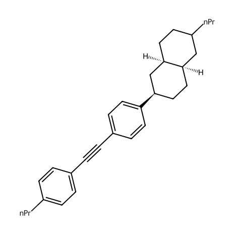 CCCc1ccc(C#Cc2ccc([C@@H]3CC[C@@H]4CC(CCC)CC[C@@H]4C3)cc2)cc1